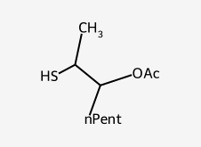 CCCCCC(OC(C)=O)C(C)S